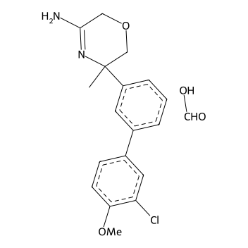 COc1ccc(-c2cccc(C3(C)COCC(N)=N3)c2)cc1Cl.O=CO